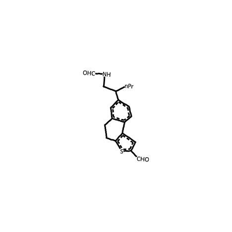 CCCC(CNC=O)c1ccc2c(c1)CCc1sc(C=O)cc1-2